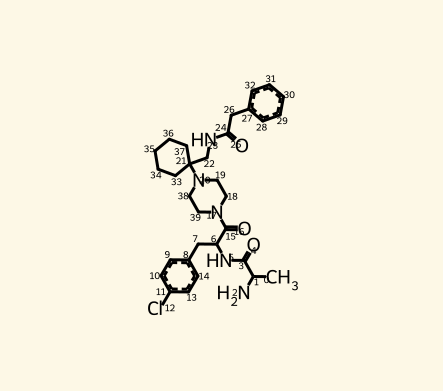 CC(N)C(=O)NC(Cc1ccc(Cl)cc1)C(=O)N1CCN(C2(CNC(=O)Cc3ccccc3)CCCCC2)CC1